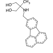 CC(CO)(CO)NCc1ccc2c(c1)-c1cccc3cccc-2c13